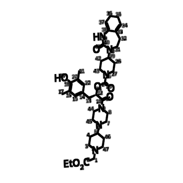 CCOC(=O)CN1CCC(N2CCN(C(=O)[C@@H](Cc3cc(C)c(O)c(C)c3)OC(=O)N3CCC(N4CCC5=CCCC=C5NC4=O)CC3)CC2)CC1